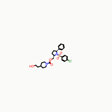 O=C(OC[C@H]1CC[C@@H](c2ccccc2)N1S(=O)(=O)c1ccc(Cl)cc1)N1CCC(CCO)CC1